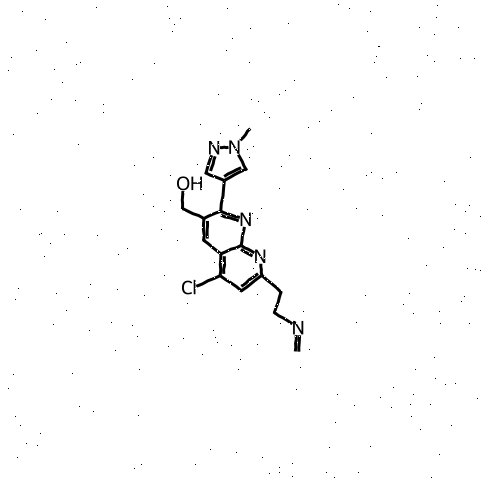 C=NCCc1cc(Cl)c2cc(CO)c(-c3cnn(C)c3)nc2n1